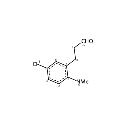 CNc1ccc(Cl)cc1CCC=O